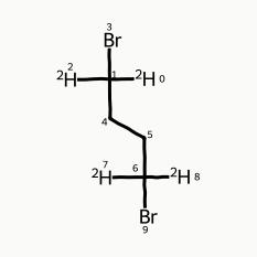 [2H]C([2H])(Br)CCC([2H])([2H])Br